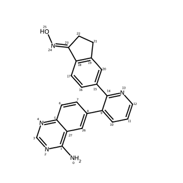 Nc1ncnc2ccc(-c3cccnc3-c3ccc4c(c3)CCC4=NO)cc12